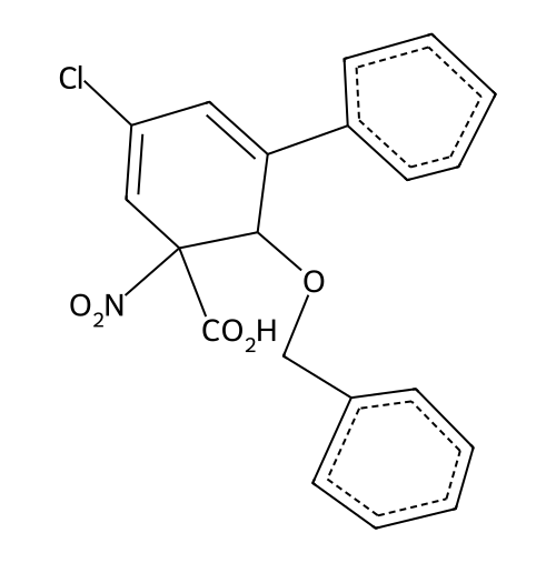 O=C(O)C1([N+](=O)[O-])C=C(Cl)C=C(c2ccccc2)C1OCc1ccccc1